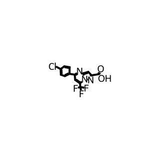 O=C(O)c1cc2nc(-c3ccc(Cl)cc3)cc(C(F)(F)F)n2n1